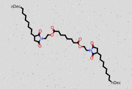 CCCCCCCCCCCCCCCCCCC1CC(=O)N(CCOC(=O)CCCCCCC(=O)OCCN2C(=O)CC(CCCCCCCCCCCCCCCCCC)C2=O)C1=O